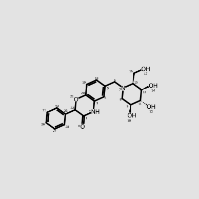 O=C1Nc2cc(CN3C[C@H](O)[C@@H](O)[C@H](O)[C@@H]3CO)ccc2OC1c1ccccc1